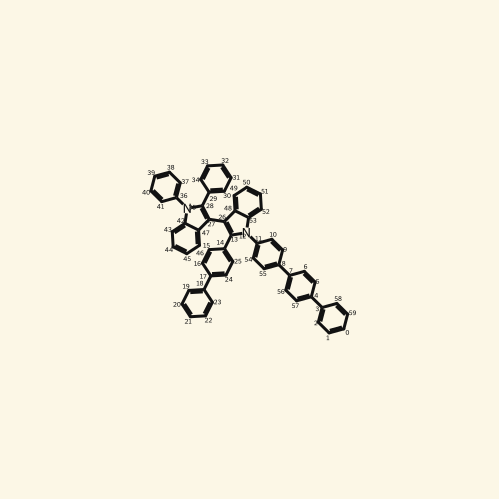 c1ccc(-c2ccc(-c3ccc(-n4c(-c5ccc(-c6ccccc6)cc5)c(-c5c(-c6ccccc6)n(-c6ccccc6)c6ccccc56)c5ccccc54)cc3)cc2)cc1